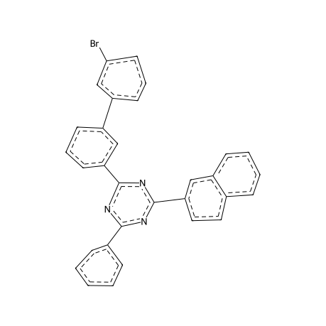 Brc1cccc(-c2cccc(-c3nc(-c4ccccc4)nc(-c4ccc5ccccc5c4)n3)c2)c1